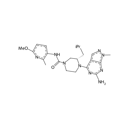 COc1ccc(NC(=O)N2CCN(c3nc(N)nc4c3cnn4C)[C@@H](CC(C)C)C2)c(C)n1